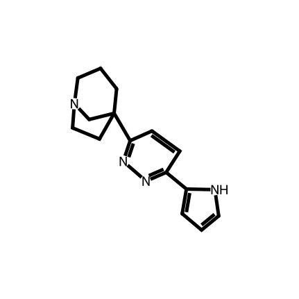 c1c[nH]c(-c2ccc(C34CCCN(CC3)C4)nn2)c1